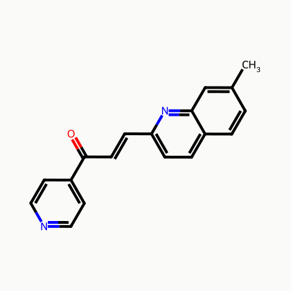 Cc1ccc2ccc(/C=C/C(=O)c3ccncc3)nc2c1